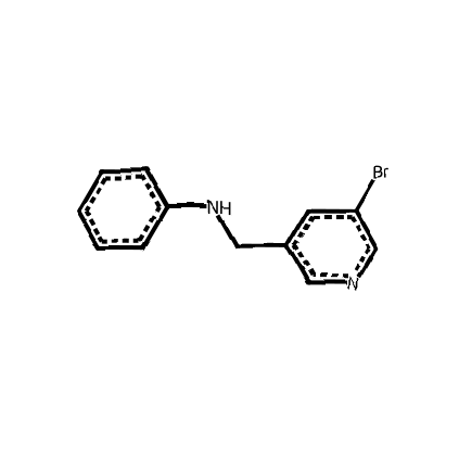 Brc1cncc(CNc2ccccc2)c1